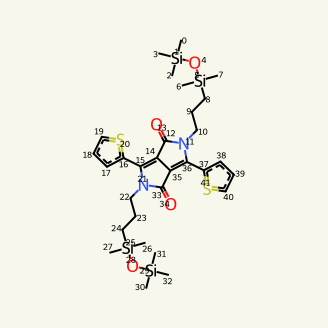 C[Si](C)(C)O[Si](C)(C)CCCN1C(=O)C2=C(c3cccs3)N(CCC[Si](C)(C)O[Si](C)(C)C)C(=O)C2=C1c1cccs1